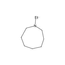 C[CH]N1CCCCCCC1